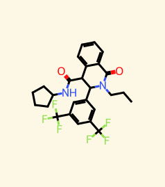 CCCN1C(=O)c2ccccc2C(C(=O)NC2CCCC2)C1c1cc(C(F)(F)F)cc(C(F)(F)F)c1